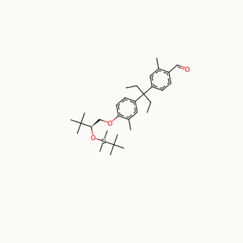 CCC(CC)(c1ccc(C=O)c(C)c1)c1ccc(OC[C@@H](O[Si](C)(C)C(C)(C)C)C(C)(C)C)c(C)c1